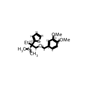 CCC(COCc1ccc(OC)c(OC)c1)(c1cccs1)N(C)C